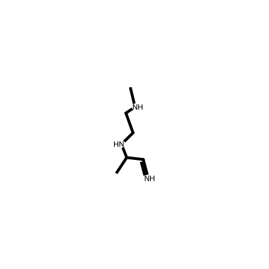 CNCCNC(C)C=N